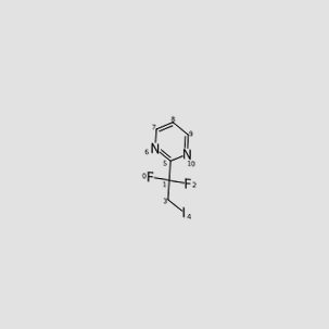 FC(F)(CI)c1ncccn1